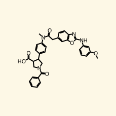 COc1cccc(Nc2nc3ccc(CC(=O)N(C)c4ccc(C5CN(C(=O)c6ccccc6)CC5C(=O)O)cc4)cc3o2)c1